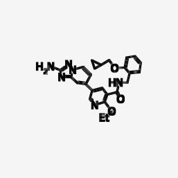 CCOc1ncc(-c2ccn3nc(N)nc3c2)cc1C(=O)NCc1ccccc1OCC1CC1